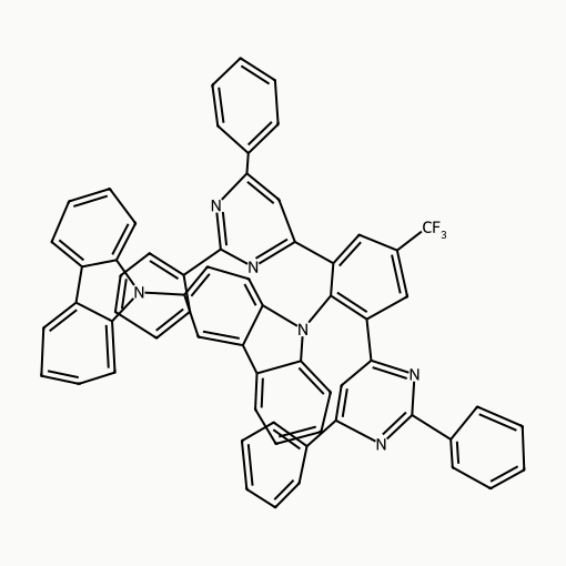 FC(F)(F)c1cc(-c2cc(-c3ccccc3)nc(-c3ccccc3)n2)c(-n2c3ccccc3c3cc(-n4c5ccccc5c5ccccc54)ccc32)c(-c2cc(-c3ccccc3)nc(-c3ccccc3)n2)c1